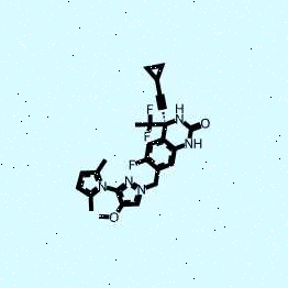 COc1cn(Cc2cc3c(cc2F)[C@@](C#CC2CC2)(C(C)(F)F)NC(=O)N3)nc1-n1c(C)ccc1C